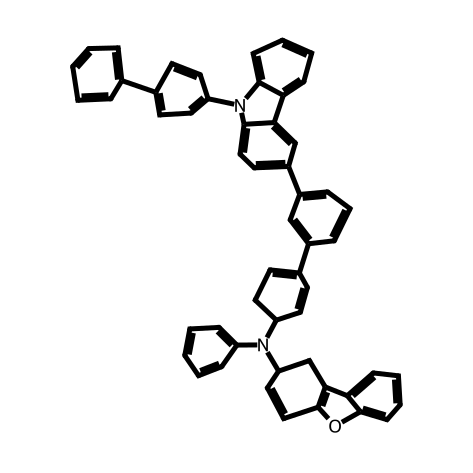 C1=CC(N(c2ccccc2)C2C=Cc3oc4ccccc4c3C2)CC=C1c1cccc(-c2ccc3c(c2)c2ccccc2n3-c2ccc(-c3ccccc3)cc2)c1